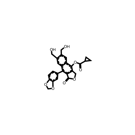 O=C1OCc2c1c(-c1ccc3c(c1)OCO3)c1cc(CO)c(CO)cc1c2OC(=O)C1CC1